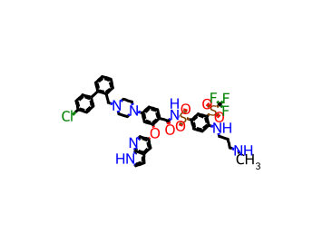 CNCCCNc1ccc(S(=O)(=O)NC(=O)c2ccc(N3CCN(Cc4ccccc4-c4ccc(Cl)cc4)CC3)cc2Oc2cnc3[nH]ccc3c2)cc1S(=O)(=O)C(F)(F)F